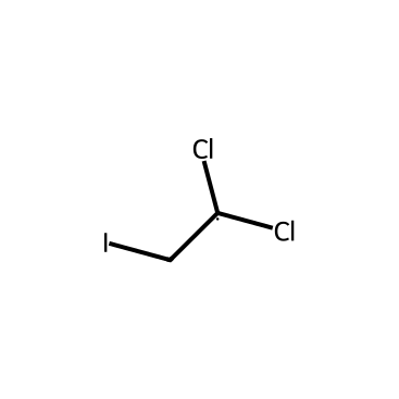 Cl[C](Cl)CI